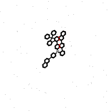 c1ccc(C2(c3ccccc3)c3ccccc3-c3c(-c4ccc(N(c5ccc(-c6ccc7ccccc7c6)cc5)c5ccccc5-c5ccc(-c6ccc7ccccc7c6)cc5)cc4)cccc32)cc1